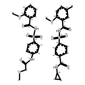 COCC(=O)Nc1ccc(S(=O)(=O)NC(=O)c2ccccc2OC)cc1.COc1ccc(C)cc1C(=O)NS(=O)(=O)c1ccc(C(=O)NC2CC2)cc1